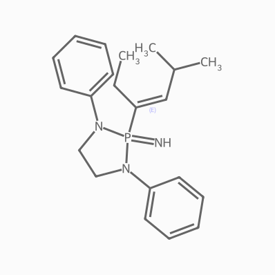 CC/C(=C\C(C)C)P1(=N)N(c2ccccc2)CCN1c1ccccc1